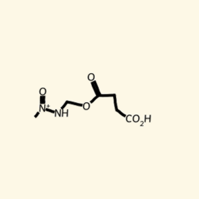 C[N+](=O)NCOC(=O)CCC(=O)O